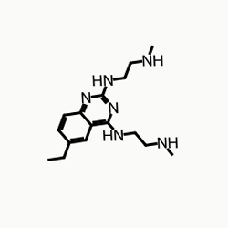 CCc1ccc2nc(NCCNC)nc(NCCNC)c2c1